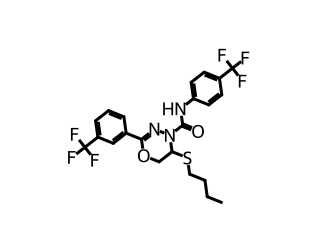 CCCCSC1COC(c2cccc(C(F)(F)F)c2)=NN1C(=O)Nc1ccc(C(F)(F)F)cc1